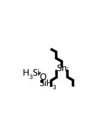 CCC[CH2][Sn]([CH2]CCC)[CH2]CCC.[SiH3]O[SiH3]